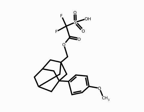 COc1ccc(C23CC4CC(CC(COC(=O)C(F)(F)S(=O)(=O)O)(C4)C2)C3)cc1